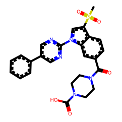 CS(=O)(=O)c1cn(-c2ncc(-c3ccccc3)cn2)c2cc(C(=O)N3CCN(C(=O)O)CC3)ccc12